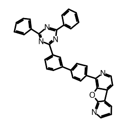 c1ccc(-c2nc(-c3ccccc3)nc(-c3cccc(-c4ccc(-c5nccc6c5oc5ncccc56)cc4)c3)n2)cc1